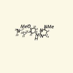 CNc1cc(C)nc(Nc2ccc(OC)c([C@H]3C[C@@H]3CN(C)C)c2)n1